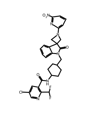 O=C(NC1CCC(CN2C(=O)C3(CN(c4cccc([N+](=O)[O-])n4)C3)c3ccccc32)CC1)c1cc(Cl)cnc1C(F)F